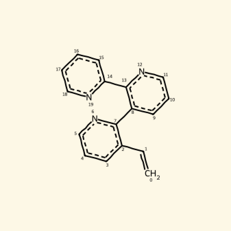 C=Cc1cccnc1-c1cccnc1-c1ccccn1